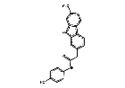 COc1ccc2c(c1)[nH]c1cc(CC(=O)Nc3ccc(O)cc3)ccc12